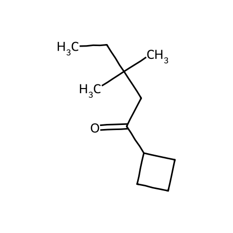 CCC(C)(C)CC(=O)C1CCC1